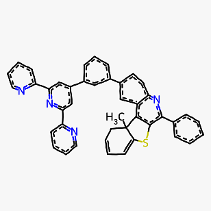 CC12CC=CC=C1Sc1c(-c3ccccc3)nc3ccc(-c4cccc(-c5cc(-c6ccccn6)nc(-c6ccccn6)c5)c4)cc3c12